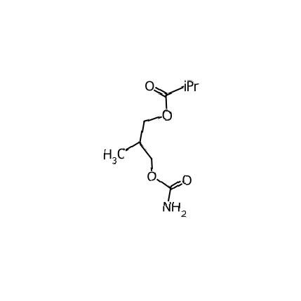 CC(COC(N)=O)COC(=O)C(C)C